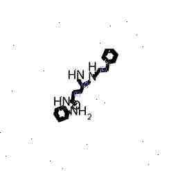 N=CC(=C\NC/C=C/c1ccccc1)/C=C/C(=O)Nc1ccccc1N